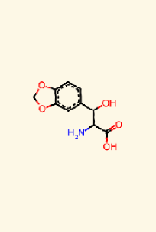 NC(C(=O)O)C(O)c1ccc2c(c1)OCO2